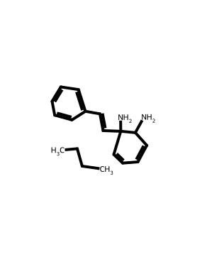 CCCC.NC1C=CC=CC1(N)C=Cc1ccccc1